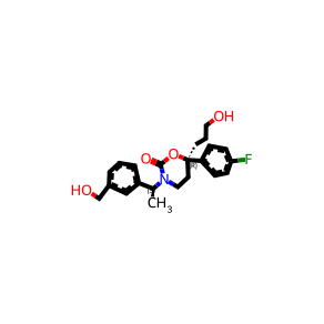 C[C@@H](c1cccc(CO)c1)N1CC[C@](CCCO)(c2ccc(F)cc2)OC1=O